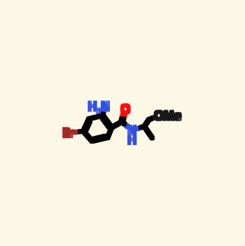 COCC(C)NC(=O)c1ccc(Br)cc1N